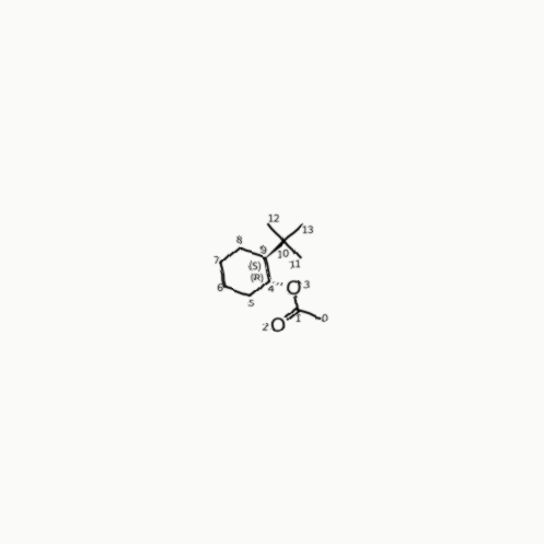 CC(=O)O[C@@H]1CCCC[C@H]1C(C)(C)C